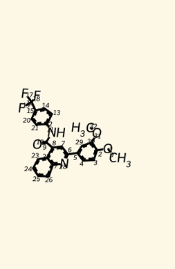 COc1ccc(-c2cc(C(=O)Nc3ccc(C(F)(F)F)cc3)c3ccccc3n2)cc1OC